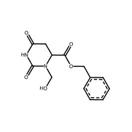 O=C1CC(C(=O)OCc2ccccc2)N(CO)C(=O)N1